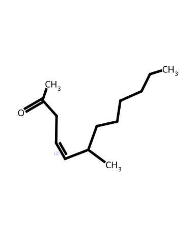 CCCCCCC(C)/C=C\CC(C)=O